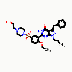 CCCn1nc(Cc2ccccc2)c2c(=O)[nH]c(-c3cc(S(=O)(=O)N4CCN(CCO)CC4)ccc3OCC)nc21